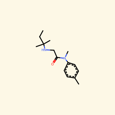 CCC(C)(C)NCC(=O)N(C)c1ccc(C)cc1